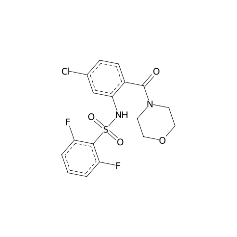 O=C(c1ccc(Cl)cc1NS(=O)(=O)c1c(F)cccc1F)N1CCOCC1